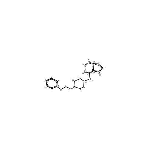 c1ccc(CCSN2CCC(Oc3ncnc4ccsc34)CC2)cc1